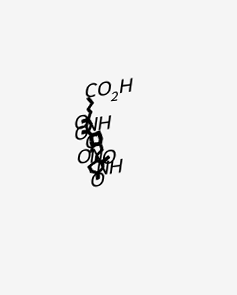 O=C(O)CCCCC(=O)NC(=O)c1ccc2c(c1)C(=O)N(C1CCC(=O)NC1=O)C2